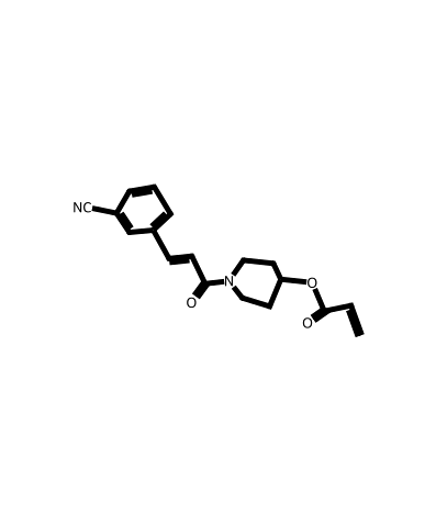 C=CC(=O)OC1CCN(C(=O)/C=C/c2cccc(C#N)c2)CC1